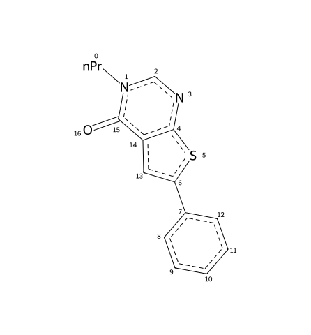 CCCn1cnc2sc(-c3ccccc3)cc2c1=O